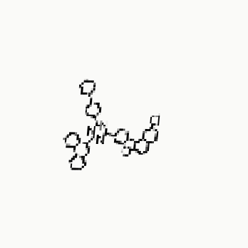 Clc1ccc2ccc3oc4cc(-c5nc(-c6ccc(-c7ccccc7)cc6)nc(-c6cc7ccccc7c7ccccc67)n5)ccc4c3c2c1